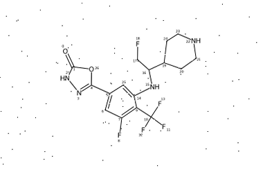 O=c1[nH]nc(-c2cc(F)c(C(F)(F)F)c(NC(CF)C3CCNCC3)c2)o1